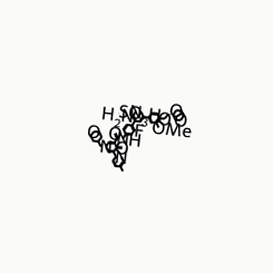 COc1cc(-c2cnc(N)c(-c3ccc(NC(=O)c4cn(CC5CCOCC5)cc(-c5ccc(C)cn5)c4=O)cc3F)c2)ccc1OC[C@H]1COCCO1.CS(=O)(=O)O